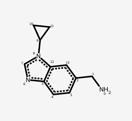 NCc1ccc2ncn(C3CC3)c2c1